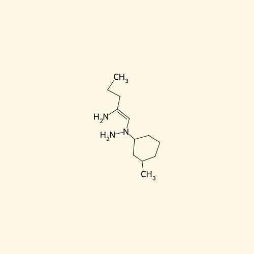 CCC/C(N)=C/N(N)C1CCCC(C)C1